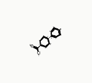 O=C(Cl)[C@H]1CC[C@H](c2ccccc2)CC1